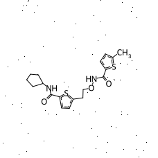 Cc1ccc(C(=O)NOCCc2ccc(C(=O)NC3CCCC3)s2)s1